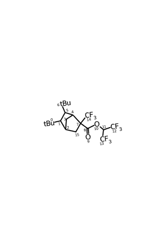 CC(C)(C)C1C2CC(C1C(C)(C)C)C(C(=O)OC(C(F)(F)F)C(F)(F)F)(C(F)(F)F)C2